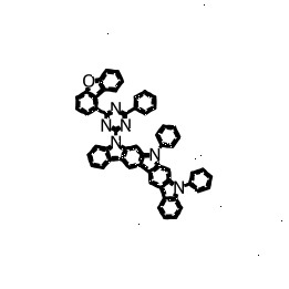 c1ccc(-c2nc(-c3cccc4oc5ccccc5c34)nc(-n3c4ccccc4c4cc5c6cc7c8ccccc8n(-c8ccccc8)c7cc6n(-c6ccccc6)c5cc43)n2)cc1